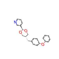 c1ccc(Oc2ccc(C[C@H]3CO[C@H](c4cccnc4)OC3)cc2)cc1